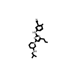 CCCc1cc(N2CCCC(NCC(C)C)C2)nc(Nc2ccc(C)c(C#N)c2)n1